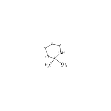 CC1(C)[N]CCCN1